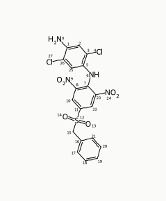 Nc1cc(Cl)c(Nc2c([N+](=O)[O-])cc(S(=O)(=O)Cc3ccccc3)cc2[N+](=O)[O-])cc1Cl